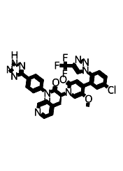 COc1cn([C@@H](Cc2ccncc2)C(=O)Nc2ccc(-c3nn[nH]n3)cc2)c(=O)cc1-c1cc(Cl)ccc1-n1cc(C(F)(F)F)nn1